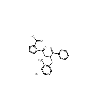 C[n+]1ccccc1SC(CC(=O)n1cccc1C(=O)O)C(=O)c1ccccc1.[Br-]